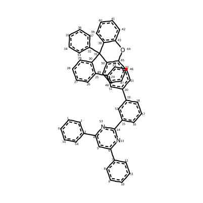 c1ccc(-c2cc(-c3ccccc3)nc(-c3cccc(-c4cccc(-c5ccccc5C5(c6ccccc6)c6ccccc6Oc6ccccc65)c4)c3)n2)cc1